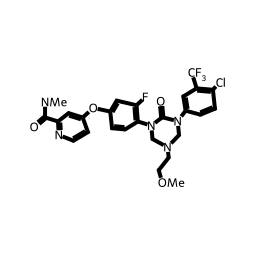 CNC(=O)c1cc(Oc2ccc(N3CN(CCOC)CN(c4ccc(Cl)c(C(F)(F)F)c4)C3=O)c(F)c2)ccn1